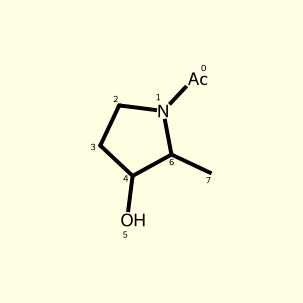 CC(=O)N1CCC(O)C1C